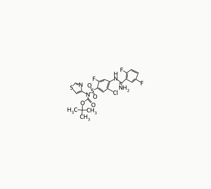 CC(C)(C)OC(=O)N(c1cscn1)S(=O)(=O)c1cc(Cl)c(N[C@@H](N)c2cc(F)ccc2F)cc1F